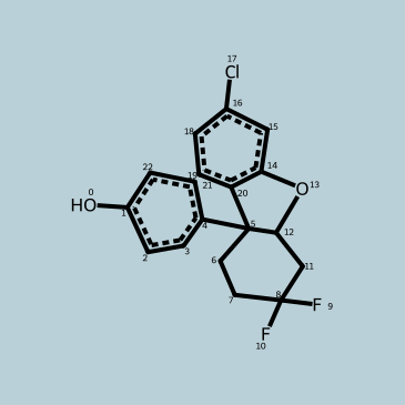 Oc1ccc(C23CCC(F)(F)CC2Oc2cc(Cl)ccc23)cc1